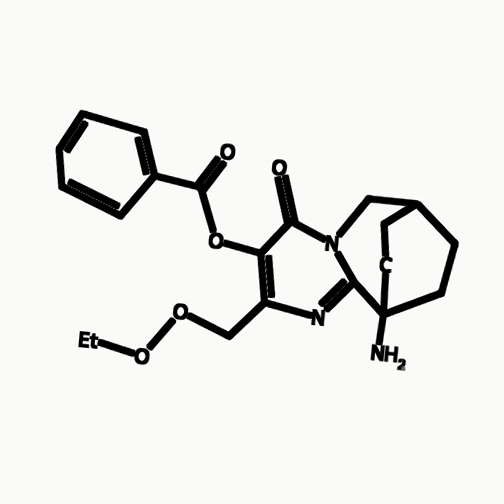 CCOOCc1nc2n(c(=O)c1OC(=O)c1ccccc1)CC1CCC2(N)CC1